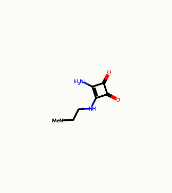 CNCCNc1c(N)c(=O)c1=O